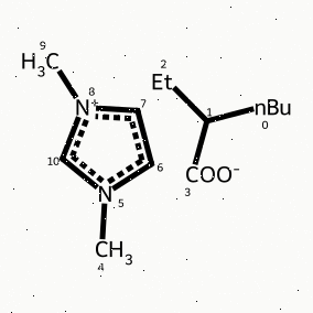 CCCCC(CC)C(=O)[O-].Cn1cc[n+](C)c1